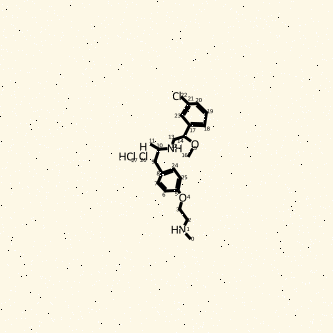 CNCCOc1ccc(CC(C)NCC(OC)c2cccc(Cl)c2)cc1.Cl.Cl